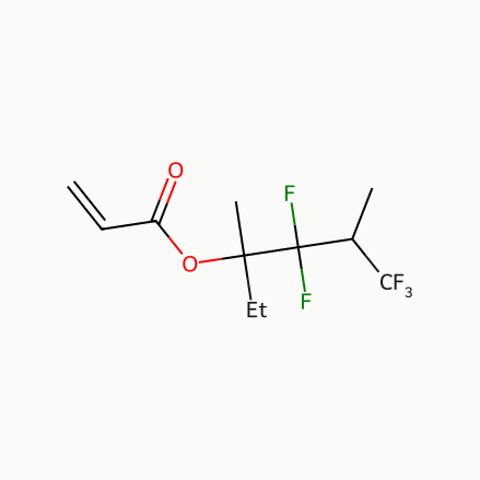 C=CC(=O)OC(C)(CC)C(F)(F)C(C)C(F)(F)F